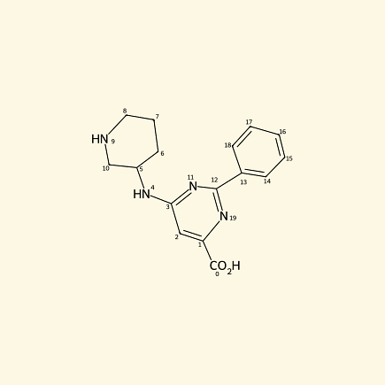 O=C(O)c1cc(NC2CCCNC2)nc(-c2ccccc2)n1